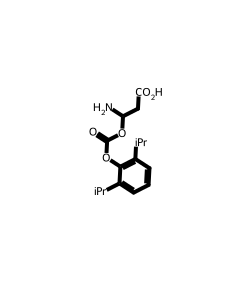 CC(C)c1cccc(C(C)C)c1OC(=O)OC(N)CC(=O)O